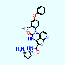 Cc1cc(Oc2ccccc2)ccc1N1C(=O)Nc2c(C(=O)N[C@H]3CCC[C@H]3N)sc3nccc1c23